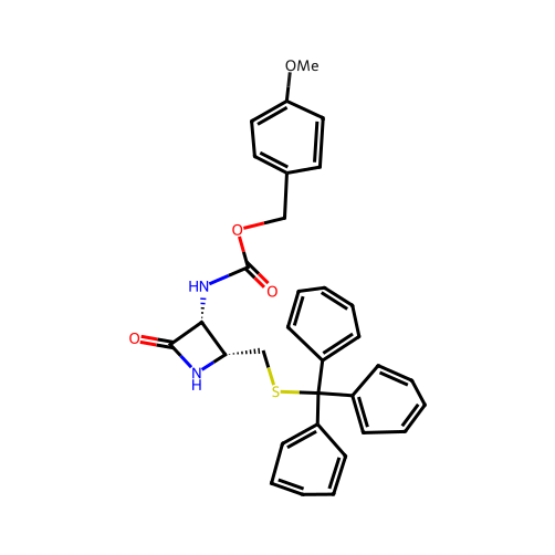 COc1ccc(COC(=O)N[C@H]2C(=O)N[C@H]2CSC(c2ccccc2)(c2ccccc2)c2ccccc2)cc1